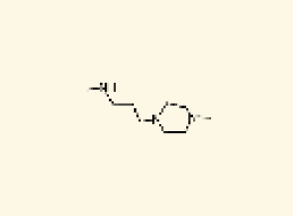 [CH2]NCCCN1CCN(C)CC1